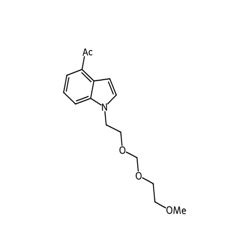 COCCOCOCCn1ccc2c(C(C)=O)cccc21